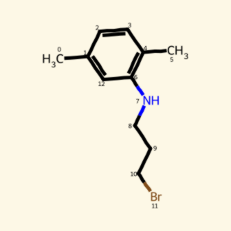 Cc1ccc(C)c(NCCCBr)c1